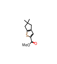 COC(=O)c1cc2c(s1)CC(C)(C)C2